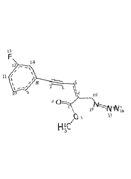 COC(=O)C(=CC#Cc1cccc(F)c1)CN=[N+]=[N-]